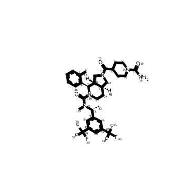 Cc1ccccc1[C@H]1[C@@H]2CN(C(=O)C3CCN(C(N)=O)CC3)C[C@H]2CCN1C(=O)N(C)[C@H](C)c1cc(C(F)(F)F)cc(C(F)(F)F)c1